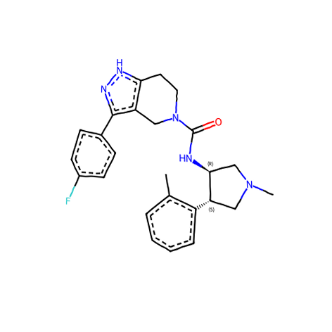 Cc1ccccc1[C@H]1CN(C)C[C@@H]1NC(=O)N1CCc2[nH]nc(-c3ccc(F)cc3)c2C1